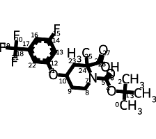 CC(C)(C)OC(=O)N1CCC(Oc2cc(F)cc(C(F)(F)F)c2)CC1(C)C(=O)O